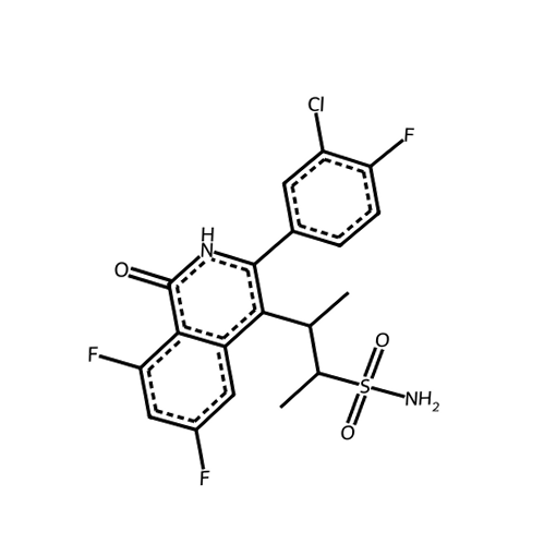 CC(c1c(-c2ccc(F)c(Cl)c2)[nH]c(=O)c2c(F)cc(F)cc12)C(C)S(N)(=O)=O